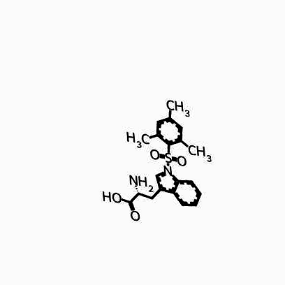 Cc1cc(C)c(S(=O)(=O)n2cc(C[C@@H](N)C(=O)O)c3ccccc32)c(C)c1